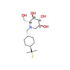 CC(C)(F)[C@H]1CC[C@H](CN2C[C@H](O)[C@@H](O)[C@H](O)[C@H]2CO)CC1